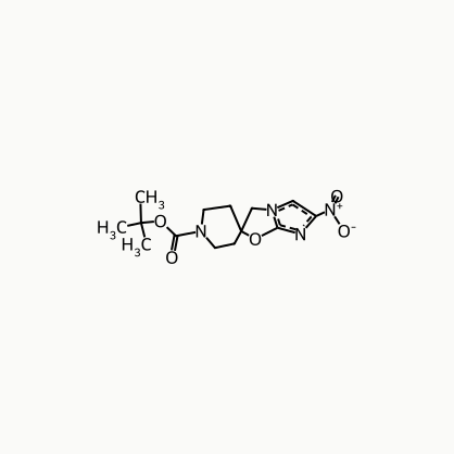 CC(C)(C)OC(=O)N1CCC2(CC1)Cn1cc([N+](=O)[O-])nc1O2